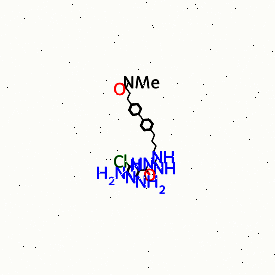 CNC(=O)CCc1ccc(-c2ccc(CCCCNC(=N)NC(=O)c3nc(Cl)c(N)nc3N)cc2)cc1